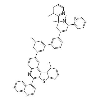 CC1C=C(c2cccc(C3=C[C@H](c4ccccn4)N(C)C(C)(C4=NC=CCC4C)C3)c2)C=C(c2ccc3nc(-c4cccc5ccccc45)c4c(c3c2)C2C(=CC=CC2C)S4)C1